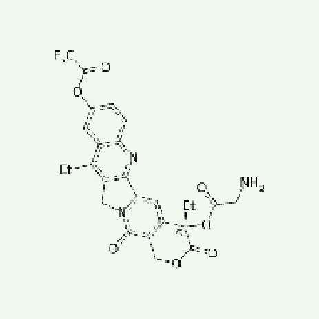 CCc1c2c(nc3ccc(OC(=O)C(F)(F)F)cc13)-c1cc3c(c(=O)n1C2)COC(=O)[C@@]3(CC)OC(=O)CN